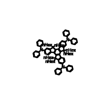 CCCCCCC1(CCCCCC)c2cc(N(c3ccccc3)c3ccccc3)ccc2-c2c1c1c(c3c2C(CCCCCC)(CCCCCC)c2cc(N(c4ccccc4)c4ccccc4)ccc2-3)C(CCCCCC)(CCCCCC)c2cc(N(c3ccccc3)c3ccccc3)ccc2-1